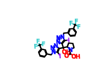 O=C(O)N1CCCC1C(O)(c1nnn(Cc2cccc(C(F)(F)F)c2)c1I)c1nnn(Cc2cccc(C(F)(F)F)c2)c1I